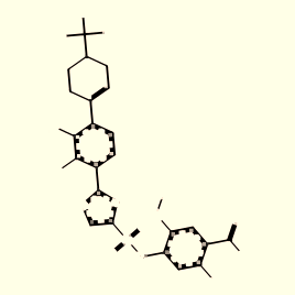 COc1cc(C(=O)O)c(F)cc1NS(=O)(=O)c1csc(-c2ccc(C3=CCC(C(F)(F)F)CC3)c(C)c2F)n1